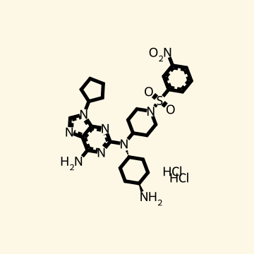 Cl.Cl.Nc1nc(N(C2CCN(S(=O)(=O)c3cccc([N+](=O)[O-])c3)CC2)[C@H]2CC[C@H](N)CC2)nc2c1ncn2C1CCCC1